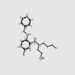 CCCC[C@@H](CCO)Nc1nc(C)ncc1OCc1ccncc1